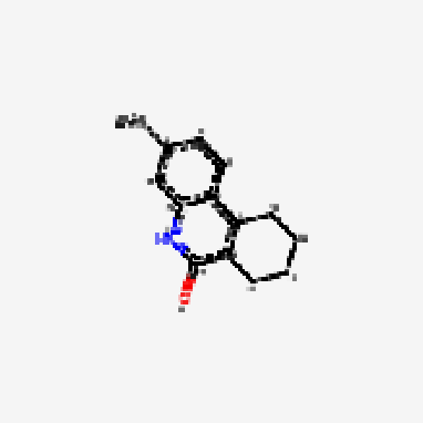 CSc1ccc2c3c(c(=O)[nH]c2c1)CCCC3